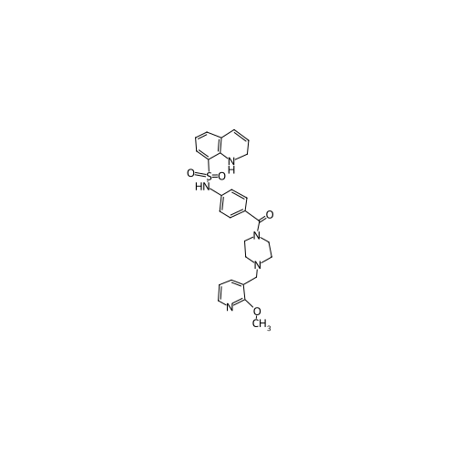 COc1ncccc1CN1CCN(C(=O)c2ccc(NS(=O)(=O)c3cccc4c3NCC=C4)cc2)CC1